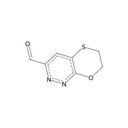 O=Cc1cc2c(nn1)OCCS2